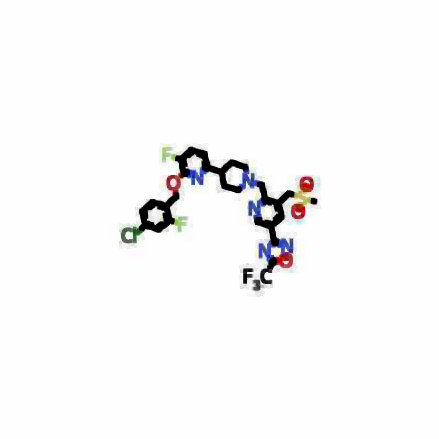 CS(=O)(=O)Cc1cc(-c2noc(C(F)(F)F)n2)cnc1CN1CCC(c2ccc(F)c(OCc3ccc(Cl)cc3F)n2)CC1